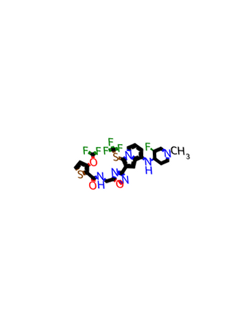 CN1CC[C@@H](Nc2cccn3c(SC(F)(F)F)c(-c4noc(CNC(=O)c5sccc5OC(F)F)n4)cc23)[C@@H](F)C1